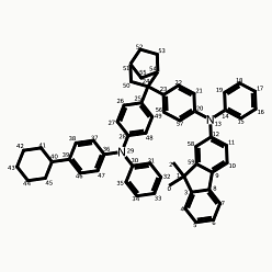 CC1(C)c2ccccc2-c2ccc(N(c3ccccc3)c3ccc(C4(c5ccc(N(c6ccccc6)c6ccc(C7CCCCC7)cc6)cc5)CC5CCC4C5)cc3)cc21